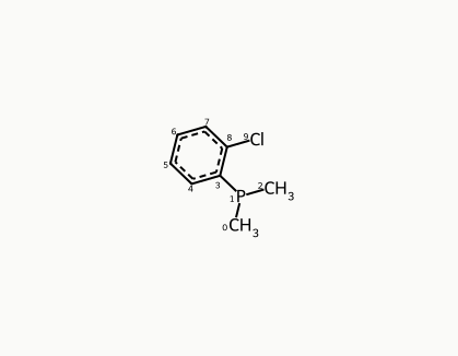 CP(C)c1ccccc1Cl